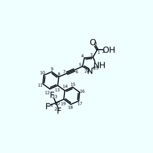 O=C(O)c1cc(C#Cc2ccccc2-c2ccccc2C(F)(F)F)n[nH]1